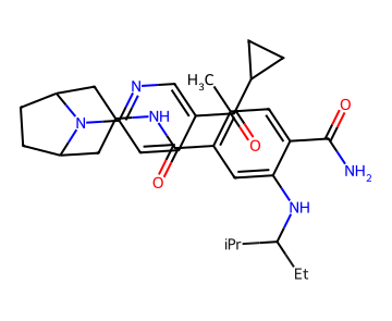 CCC(Nc1cc(C(=O)NC2CC3CCC(C2)N3c2ccc(C(=O)C3CC3)cn2)c(C)cc1C(N)=O)C(C)C